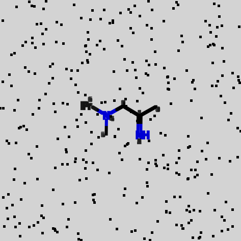 CC(=N)CN(C)C(C)C